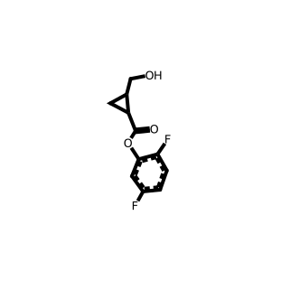 O=C(Oc1cc(F)ccc1F)C1CC1CO